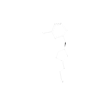 NCCN1C[C@H](Cc2cccc(N)n2)[C@@H](O)C1